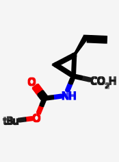 C=C[C@@H]1CC1(NC(=O)OC(C)(C)C)C(=O)O